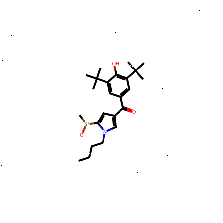 CCCCn1cc(C(=O)c2cc(C(C)(C)C)c(O)c(C(C)(C)C)c2)cc1[S+](C)[O-]